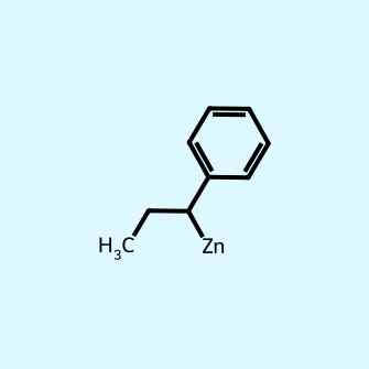 CC[CH]([Zn])c1ccccc1